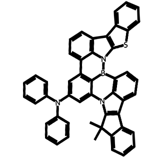 CC1(C)c2ccccc2-c2c1n1c3c(cccc23)B2c3c(cc(N(c4ccccc4)c4ccccc4)cc3-1)-c1cccc3c4c5ccccc5sc4n2c13